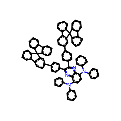 c1ccc(N(c2ccccc2)c2ccc(N(c3ccccc3)c3ccccc3)c3nc(-c4ccc(-c5ccc6c(c5)C5(c7ccccc7-c7ccccc75)c5ccccc5-6)cc4)c(-c4ccc(-c5ccc6c(c5)C5(c7ccccc7-c7ccccc75)c5ccccc5-6)cc4)nc23)cc1